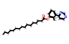 CCCCCCCCCCCCCCCC(=O)Oc1cccc(-c2ccncn2)c1C